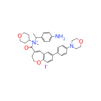 CC(c1ccc(N)cc1)[N+](C)(C(=O)C1=Cc2cc(-c3ccc(N4CCOCC4)cc3)ccc2OCC1)C1CCOCC1.[I-]